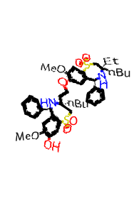 CCCC[C@]1(CCOc2cc3c(cc2OC)S(=O)(=O)C[C@@](CC)(CCCC)N[C@@H]3c2ccccc2)CS(=O)(=O)c2cc(O)c(OC)cc2[C@@H](c2ccccc2)N1